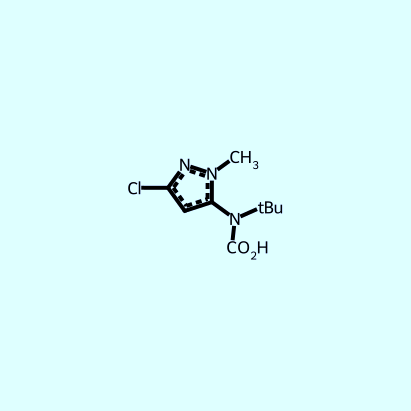 Cn1nc(Cl)cc1N(C(=O)O)C(C)(C)C